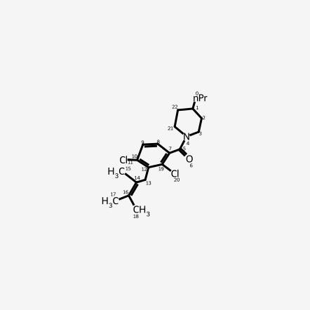 CCCC1CCN(C(=O)c2ccc(Cl)c(CC(C)=C(C)C)c2Cl)CC1